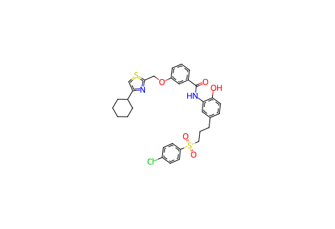 O=C(Nc1cc(CCCS(=O)(=O)c2ccc(Cl)cc2)ccc1O)c1cccc(OCc2nc(C3CCCCC3)cs2)c1